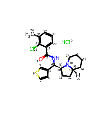 Cl.O=C(NC(c1ccsc1)[C@@H]1CC[C@H]2CCCCN21)c1cccc(C(F)(F)F)c1Cl